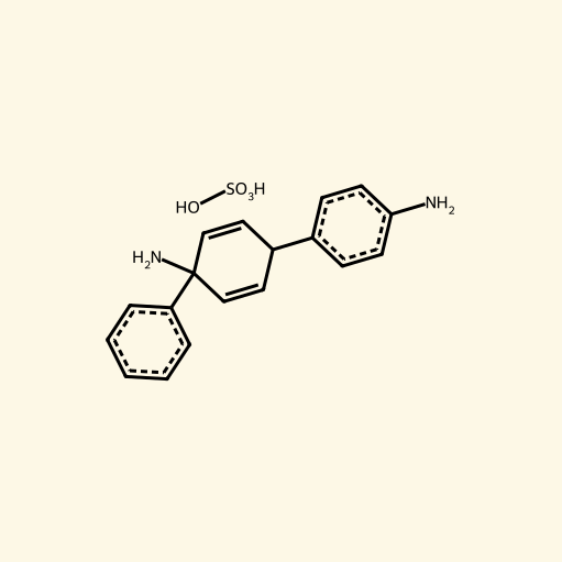 Nc1ccc(C2C=CC(N)(c3ccccc3)C=C2)cc1.O=S(=O)(O)O